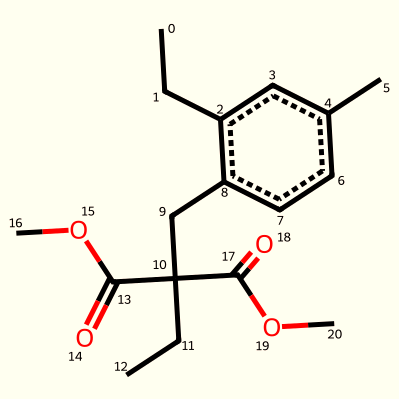 CCc1cc(C)ccc1CC(CC)(C(=O)OC)C(=O)OC